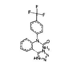 NC(=O)N(c1ccc(C(F)(F)F)cc1)c1ccccc1-c1nnn[nH]1